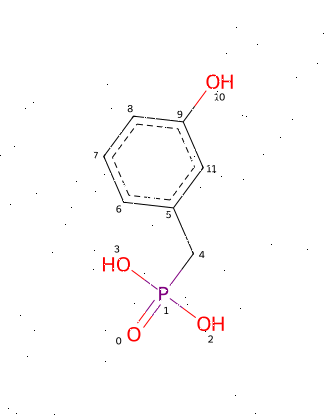 O=P(O)(O)Cc1cccc(O)c1